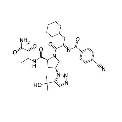 CC(NC(=O)[C@@H]1C[C@H](n2nncc2C(C)(C)O)CN1C(=O)/C(CC1CCCCC1)=N/C(=O)c1ccc(C#N)cc1)C(=O)C(N)=O